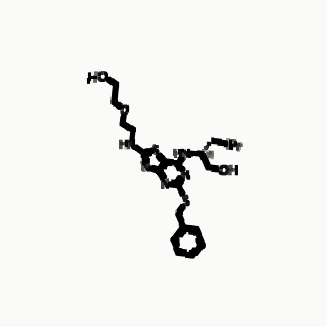 CC(C)C[C@H](CO)Nc1nc(SCc2ccccc2)nc2nc(NCCOCCO)sc12